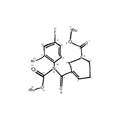 CC(C)(C)OC(=O)N1CCC=C(C(=O)N(C(=O)OC(C)(C)C)c2ccc(F)cc2Br)C1